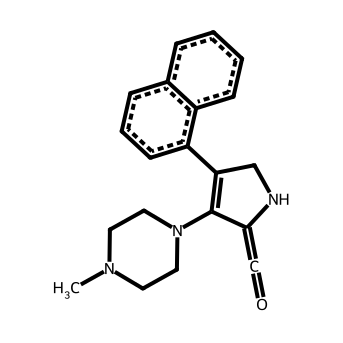 CN1CCN(C2=C(c3cccc4ccccc34)CNC2=C=O)CC1